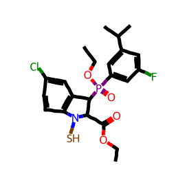 CCOC(=O)C1C(P(=O)(OCC)c2cc(F)cc(C(C)C)c2)c2cc(Cl)ccc2N1S